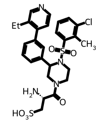 CCc1cnccc1-c1cccc(C2CN(C(=O)[C@@H](N)CS(=O)(=O)O)CCN2S(=O)(=O)c2cccc(Cl)c2C)c1